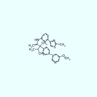 C=C(Nc1cccc(-c2csc(C)n2)c1)C(C)(c1ccc(-c2cncc(OC)c2)cc1)C(C)C